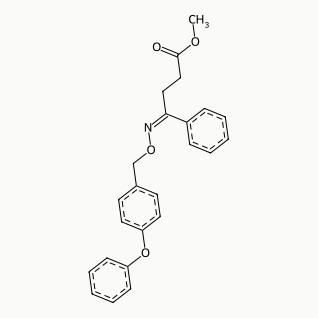 COC(=O)CCC(=NOCc1ccc(Oc2ccccc2)cc1)c1ccccc1